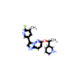 Cc1cc(-c2cnc3ccc(OC(C)C4CCCNC4)nn23)cnc1F